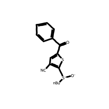 CCCC[S+]([O-])c1sc(C(=O)c2ccccc2)cc1C#N